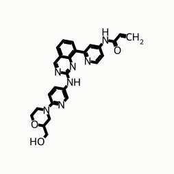 C=CC(=O)Nc1ccnc(-c2cccc3cnc(Nc4ccc(N5CCOC(CO)C5)nc4)nc23)c1